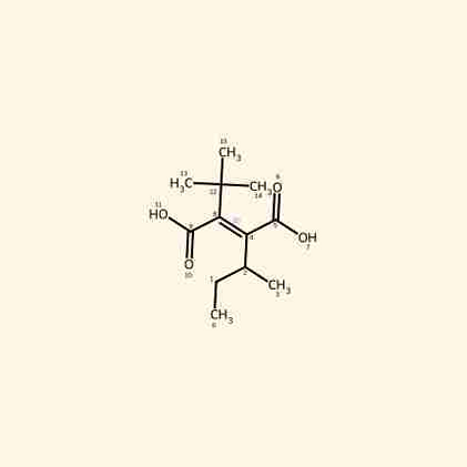 CCC(C)/C(C(=O)O)=C(\C(=O)O)C(C)(C)C